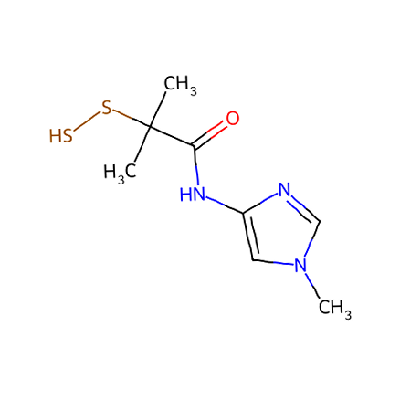 Cn1cnc(NC(=O)C(C)(C)SS)c1